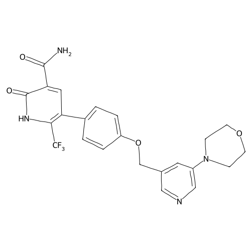 NC(=O)c1cc(-c2ccc(OCc3cncc(N4CCOCC4)c3)cc2)c(C(F)(F)F)[nH]c1=O